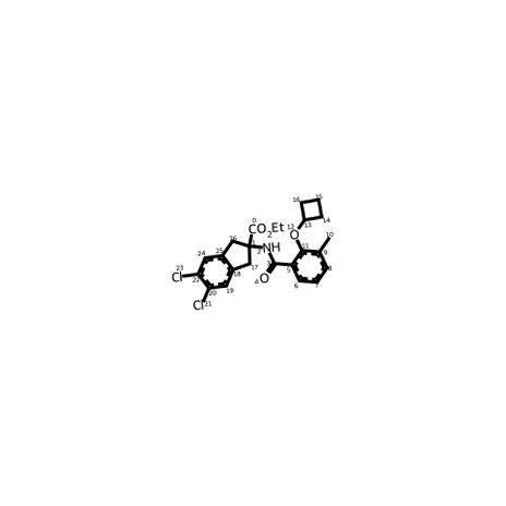 CCOC(=O)C1(NC(=O)c2cccc(C)c2OC2CCC2)Cc2cc(Cl)c(Cl)cc2C1